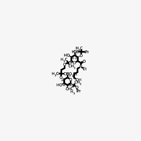 CCOC(=O)C1O[C@@H](C(C)(C)OC(C)C)[C@@H](O)[C@@H](O)[C@@H]1OC(C)(C)CCOC(C)(C)[C@@H]1OC(C(=O)N(CC)CCCCO)[C@@H](OC(C)(C)C(C)C)[C@H](O)[C@@H]1O